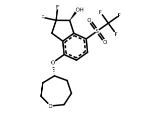 O=S(=O)(c1ccc(O[C@@H]2CCCOCC2)c2c1[C@H](O)C(F)(F)C2)C(F)(F)F